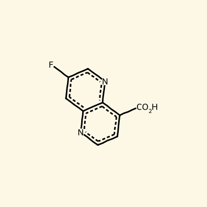 O=C(O)c1ccnc2cc(F)cnc12